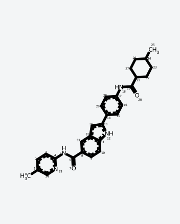 Cc1ccc(NC(=O)c2ccc3[nH]c(-c4ccc(NC(=O)C5CCC(C)CC5)cc4)cc3c2)nc1